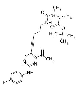 CNc1nc(Nc2ccc(F)cc2)ncc1C#CCCCNC(=O)[C@H](C)N(C)C(=O)OC(C)(C)C